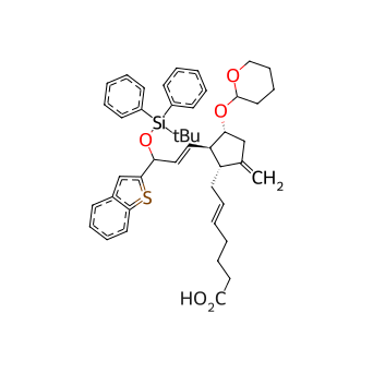 C=C1C[C@@H](OC2CCCCO2)[C@H](C=CC(O[Si](c2ccccc2)(c2ccccc2)C(C)(C)C)c2cc3ccccc3s2)[C@H]1CC=CCCCC(=O)O